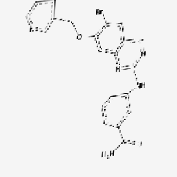 NC(=O)c1cccc(Nc2ncc3cc(Br)c(OCc4cccnc4)cc3n2)c1